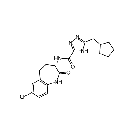 O=C(N[C@H]1CCc2cc(Cl)ccc2NC1=O)c1nnc(CC2CCCC2)[nH]1